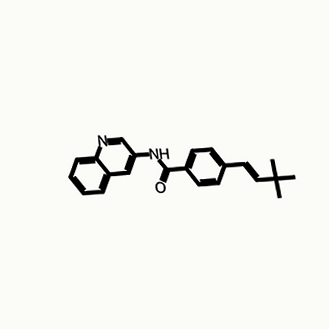 CC(C)(C)/C=C/c1ccc(C(=O)Nc2cnc3ccccc3c2)cc1